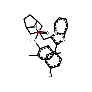 Cc1ccc(C)c(NC(=O)N2C3CCC2CN(Cc2c(-c4ccc(Cl)cc4)nc4ccccn24)C3)c1